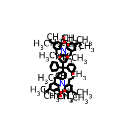 CCCc1cc(C(C)C)cc(C(C)C)c1N(c1ccc(C(c2ccccc2)(c2ccccc2)c2ccc(N(c3c(C(C)C)cc(C(C)C)cc3C(C)C)c3c(C(C)C)cc(C(C)C)cc3C(C)C)cc2)cc1)c1c(C(C)C)cc(C(C)C)cc1C(C)C